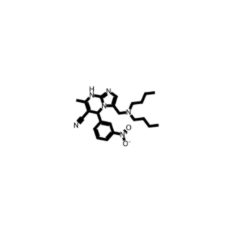 CCCCN(CCCC)Cc1cnc2n1C(c1cccc([N+](=O)[O-])c1)C(C#N)=C(C)N2